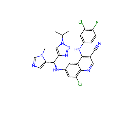 CC(C)n1cc([C@@H](Nc2cc(Cl)c3ncc(C#N)c(Nc4ccc(F)c(Cl)c4)c3c2)c2cncn2C)nn1